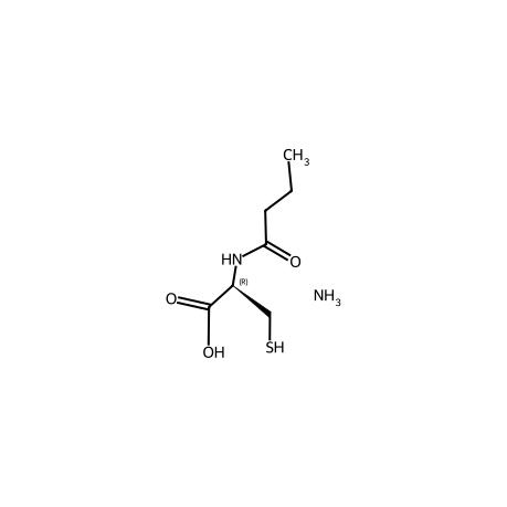 CCCC(=O)N[C@@H](CS)C(=O)O.N